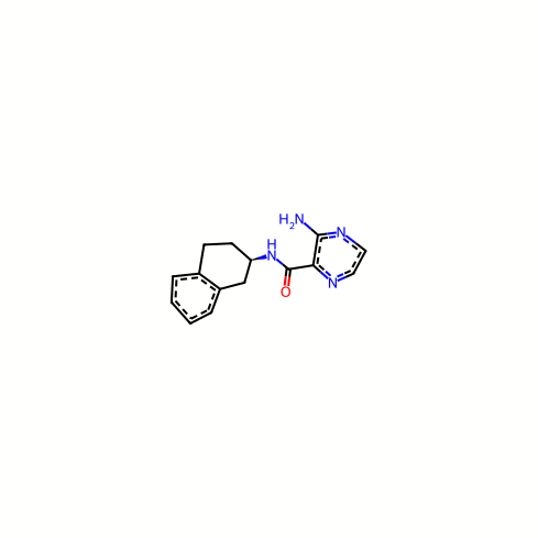 Nc1nccnc1C(=O)N[C@@H]1CCc2ccccc2C1